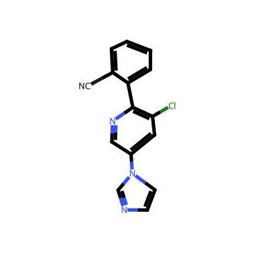 N#Cc1ccccc1-c1ncc(-n2ccnc2)cc1Cl